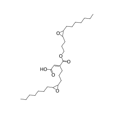 CCCCCCCC1OC1CCCOC(=O)C(=CC(=O)O)CCCC1OC1CCCCCCC